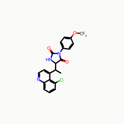 CC(c1ccnc2cccc(Cl)c12)C1NC(=O)N(c2ccc(OC(F)(F)F)cc2)C1=O